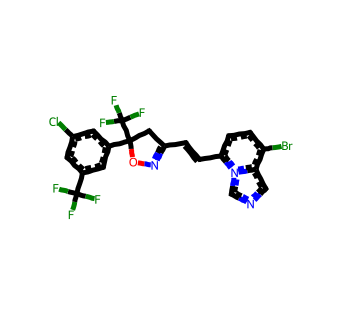 FC(F)(F)c1cc(Cl)cc(C2(C(F)(F)F)CC(/C=C/c3ccc(Br)c4cncn34)=NO2)c1